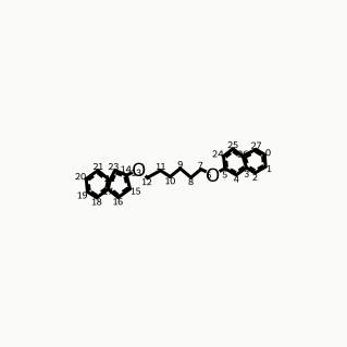 c1ccc2cc(OCCCCCCOc3ccc4ccccc4c3)ccc2c1